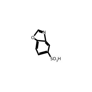 O=S(=O)(O)c1ccc2ocnc2c1